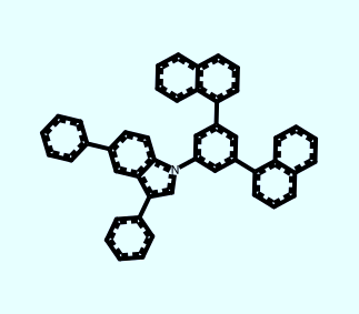 c1ccc(-c2ccc3c(c2)c(-c2ccccc2)cn3-c2cc(-c3cccc4ccccc34)cc(-c3cccc4ccccc34)c2)cc1